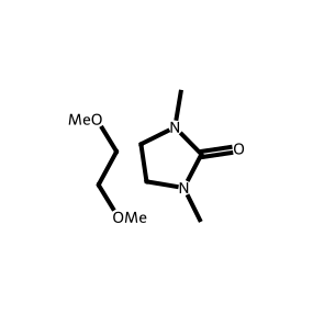 CN1CCN(C)C1=O.COCCOC